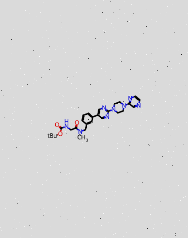 CN(Cc1cccc(-c2cnc(N3CCN(c4cnccn4)CC3)nc2)c1)C(=O)CNC(=O)OC(C)(C)C